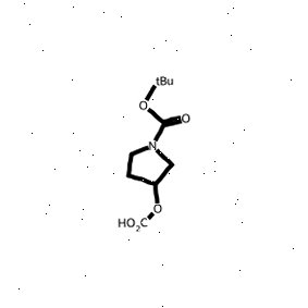 CC(C)(C)OC(=O)N1CCC(OC(=O)O)C1